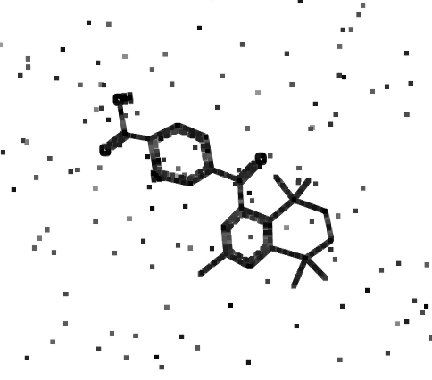 Cc1cc(C(=O)c2ccc(C(=O)O)nc2)c2c(c1)C(C)(C)CCC2(C)C